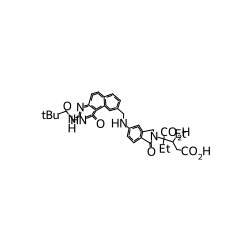 CCC(CC(=O)O)C(CC)(C(=O)O)N1Cc2cc(NCc3ccc4ccc5nc(NC(=O)C(C)(C)C)[nH]c(=O)c5c4c3)ccc2C1=O